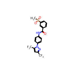 CS(=O)(=O)c1cccc(C(=O)Nc2ccc(-n3nc(C(F)(F)F)cc3C(F)(F)F)cc2)c1